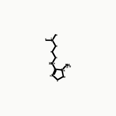 CN(C)CCCNC1=NCCN1N